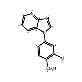 O=C(O)c1ccc(-n2cnc3ncncc32)cc1Cl